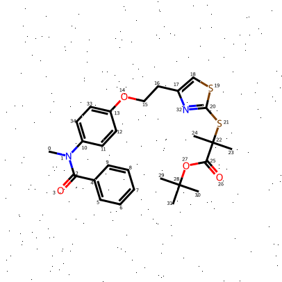 CN(C(=O)c1ccccc1)c1ccc(OCCc2csc(SC(C)(C)C(=O)OC(C)(C)C)n2)cc1